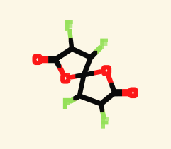 O=C1OC2(OC(=O)C(F)C2F)C(F)C1F